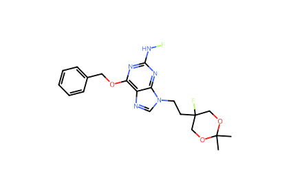 CC1(C)OCC(F)(CCn2cnc3c(OCc4ccccc4)nc(NF)nc32)CO1